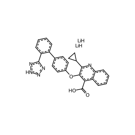 O=C(O)c1c(Oc2ccc(-c3ccccc3-c3nn[nH]n3)cc2)c(C2CC2)nc2ccccc12.[LiH].[LiH]